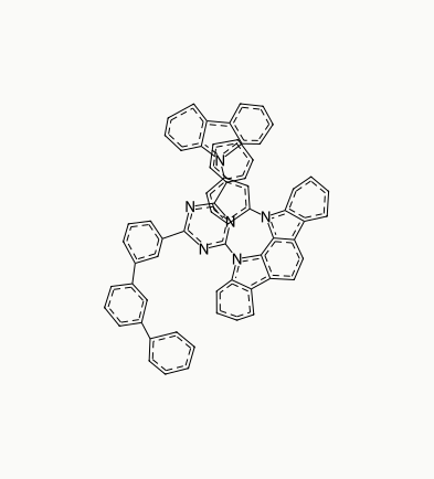 c1ccc(-c2cccc(-c3cccc(-c4nc(-c5ccccc5)nc(-n5c6ccccc6c6ccc7c8ccccc8n(-c8cccc(-n9c%10ccccc%10c%10ccccc%109)c8)c7c65)n4)c3)c2)cc1